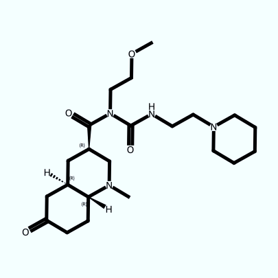 COCCN(C(=O)NCCN1CCCCC1)C(=O)[C@@H]1C[C@@H]2CC(=O)CC[C@H]2N(C)C1